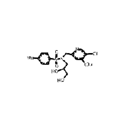 CC(C)(C)c1ccc(S(=O)(=O)N(Cc2cc(C(C)(C)C)c(Cl)cn2)CC(O)CO)cc1